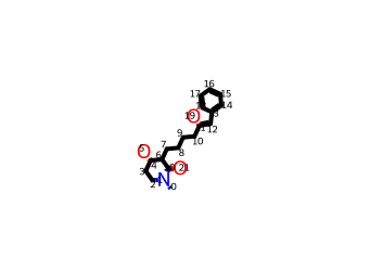 CN1CCC(=O)C(CCCCc2cc3ccccc3o2)C1=O